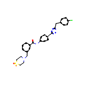 O=C(Nc1ccc(-c2nc(Cc3ccc(Cl)cc3)n[nH]2)cc1)c1cccc(CN2CCS(=O)(=O)CC2)c1